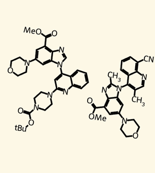 COC(=O)c1cc(N2CCOCC2)cc2c1nc(C)n2-c1c(C)cnc2c(C#N)cccc12.COC(=O)c1cc(N2CCOCC2)cc2c1ncn2-c1cc(N2CCN(C(=O)OC(C)(C)C)CC2)nc2ccccc12